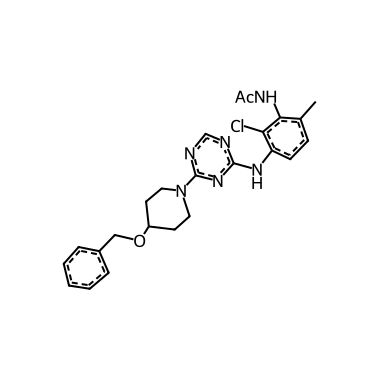 CC(=O)Nc1c(C)ccc(Nc2ncnc(N3CCC(OCc4ccccc4)CC3)n2)c1Cl